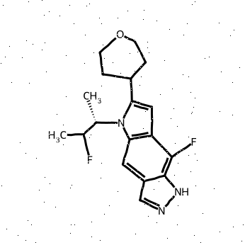 CC(F)[C@H](C)n1c(C2CCOCC2)cc2c(F)c3[nH]ncc3cc21